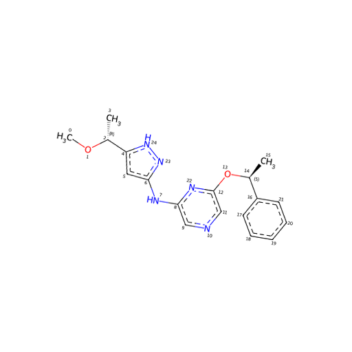 CO[C@H](C)c1cc(Nc2cncc(O[C@@H](C)c3ccccc3)n2)n[nH]1